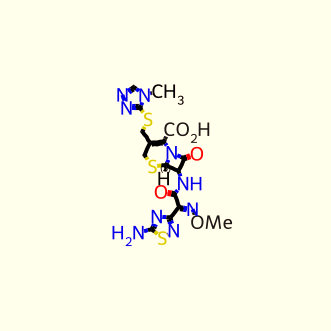 CON=C(C(=O)NC1C(=O)N2C(C(=O)O)=C(CSc3nncn3C)CS[C@@H]12)c1nsc(N)n1